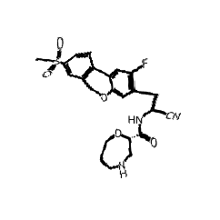 CS(=O)(=O)c1ccc2c(c1)COc1cc(CC(C#N)NC(=O)[C@@H]3CNCCCO3)c(F)cc1-2